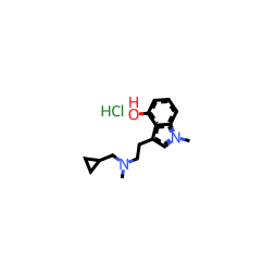 CN(CCc1cn(C)c2cccc(O)c12)CC1CC1.Cl